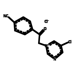 N#Cc1ccc(C(=O)C[n+]2cncc(Cl)c2)cc1.[Cl-]